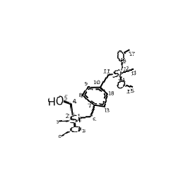 CO[Si](C)(CO)Cc1ccc(C[Si](C)(OC)OC)cc1